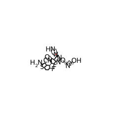 CN1C[C@H](O)C[C@H]1COc1nc(N2C3CCC2CNC3)c2c3c(c(-c4c(F)ccc5sc(N)c(C#N)c45)c(F)c2n1)COC3